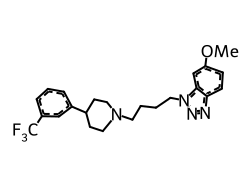 COc1ccc2nnn(CCCCN3CCC(c4cccc(C(F)(F)F)c4)CC3)c2c1